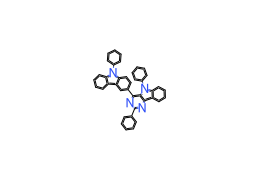 c1ccc(-c2nc(-c3ccc4c(c3)c3ccccc3n4-c3ccccc3)c3c(n2)c2ccccc2n3-c2ccccc2)cc1